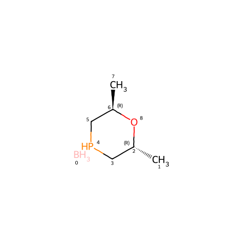 B.C[C@@H]1CPC[C@@H](C)O1